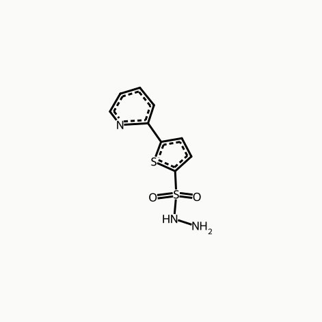 NNS(=O)(=O)c1ccc(-c2ccccn2)s1